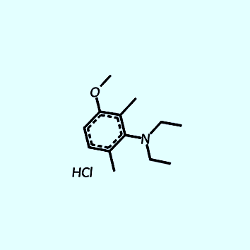 CCN(CC)c1c(C)ccc(OC)c1C.Cl